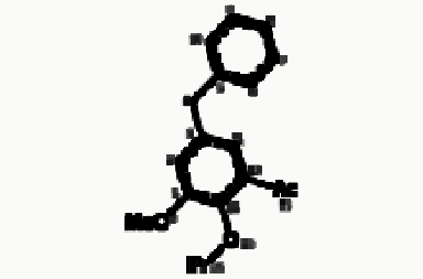 COc1cc(Cc2ccccc2)cc(C(C)=O)c1OC(C)C